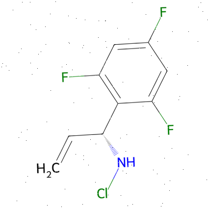 C=C[C@@H](NCl)c1c(F)cc(F)cc1F